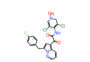 O=C(NC1=C(Cl)CN(O)C=C1Cl)C(=O)c1cc(Cc2ccc(F)cc2)n2ncccc12